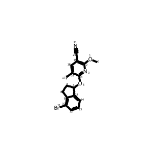 COc1nc(OC2CCc3c(Br)cccc32)c(I)cc1C#N